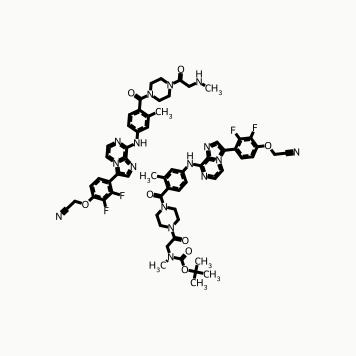 CNCC(=O)N1CCN(C(=O)c2ccc(Nc3nccn4c(-c5ccc(OCC#N)c(F)c5F)cnc34)cc2C)CC1.Cc1cc(Nc2nccn3c(-c4ccc(OCC#N)c(F)c4F)cnc23)ccc1C(=O)N1CCN(C(=O)CN(C)C(=O)OC(C)(C)C)CC1